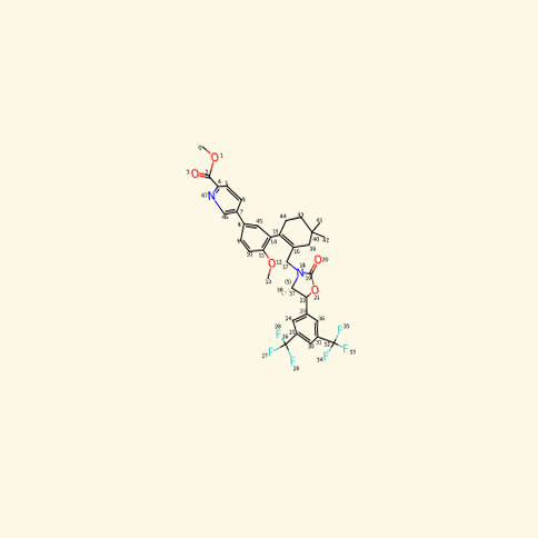 COC(=O)c1ccc(-c2ccc(OC)c(C3=C(CN4C(=O)OC(c5cc(C(F)(F)F)cc(C(F)(F)F)c5)[C@@H]4C)CC(C)(C)CC3)c2)cn1